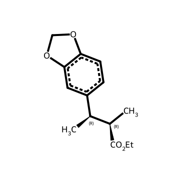 CCOC(=O)[C@H](C)[C@@H](C)c1ccc2c(c1)OCO2